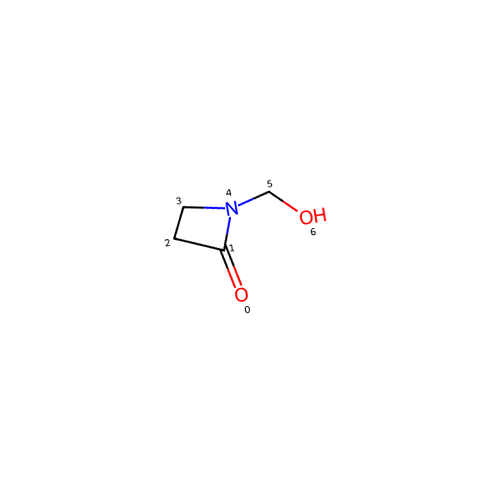 O=C1CCN1CO